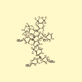 Cc1cc2c(cc1N1c3cc4c(cc3B3c5c1cc1c(oc6ccccc61)c5-c1cc5c(cc1N3c1ccc(C(C)(C)C)cc1)C(C)(C)c1cc(N(c3ccc(C(C)(C)C)cc3)c3ccc(C(C)(C)C)cc3)ccc1-5)C(C)(C)CCC4(C)C)C(C)(C)CCC2(C)C